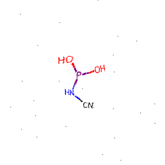 N#CNP(O)O